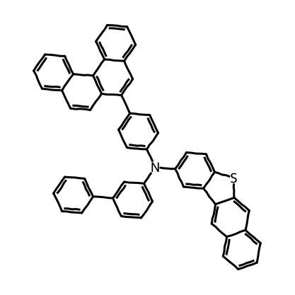 c1ccc(-c2cccc(N(c3ccc(-c4cc5ccccc5c5c4ccc4ccccc45)cc3)c3ccc4sc5cc6ccccc6cc5c4c3)c2)cc1